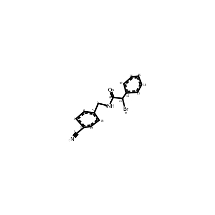 N#Cc1ccc(CNC(=O)C(Br)c2ccccc2)cc1